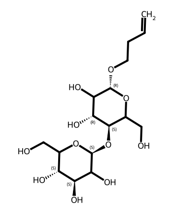 C=CCCO[C@@H]1OC(CO)[C@@H](O[C@@H]2OC(CO)[C@@H](O)[C@H](O)C2O)[C@H](O)C1O